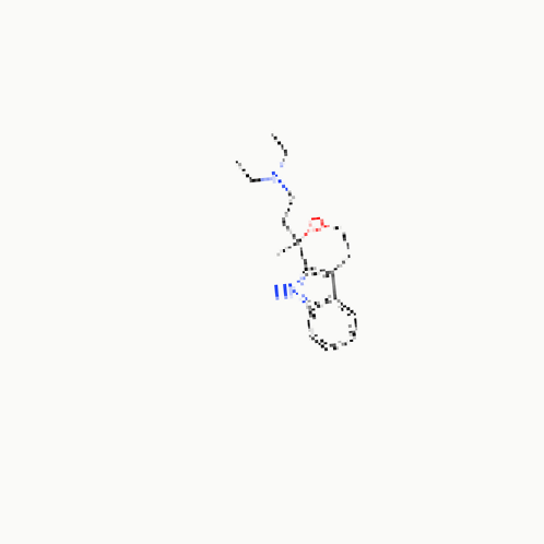 CCN(CC)CCC1(C)OCCc2c1[nH]c1ccccc21